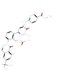 COC(=O)c1ccc(Nc2cc(-c3cccc(-n4ncc5cc(C(C)(C)C)cc(F)c5c4=O)c3COC(C)=O)nn(C)c2=O)nc1